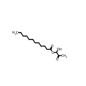 CCCCCCCCCCCC(=O)OC(O)C(C)=O